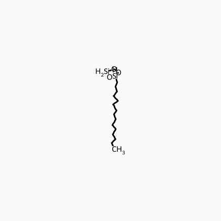 CCCCCCCCCCCCCCC[SiH]1OO[SiH2]O1